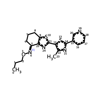 CCCO/N=C1\CCCc2sc(-c3sc(-c4cccnc4)nc3C)nc21